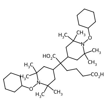 CC1(C)CC(C(CCCC(=O)O)(C(=O)O)C2CC(C)(C)N(OC3CCCCC3)C(C)(C)C2)CC(C)(C)N1OC1CCCCC1